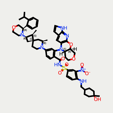 CC(C)c1ccccc1[C@@H]1COCCN1[C@@H]1C[C@@]2(CCN(c3ccc(C(=O)NS(=O)(=O)c4ccc(NCC5CCC(C)(O)CC5)c([N+](=O)[O-])c4)c(N4c5cc6cc[nH]c6nc5O[C@H]5COCC[C@@H]54)c3)[C@H](C)C2)[C@@H]1C